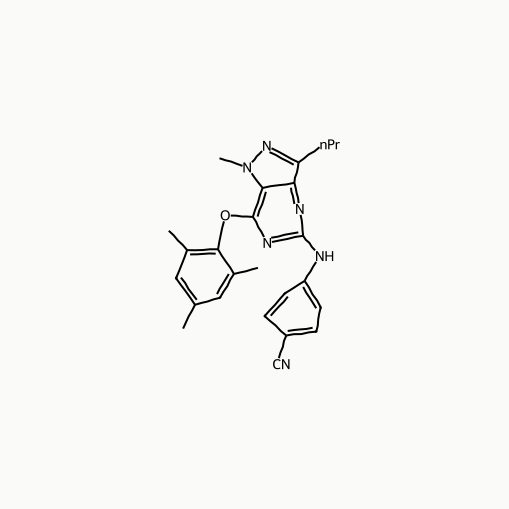 CCCc1nn(C)c2c(Oc3c(C)cc(C)cc3C)nc(Nc3ccc(C#N)cc3)nc12